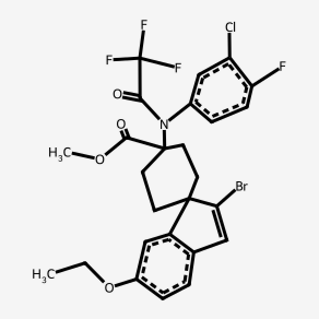 CCOc1ccc2c(c1)C1(CCC(C(=O)OC)(N(C(=O)C(F)(F)F)c3ccc(F)c(Cl)c3)CC1)C(Br)=C2